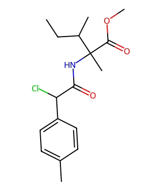 CCC(C)C(C)(NC(=O)C(Cl)c1ccc(C)cc1)C(=O)OC